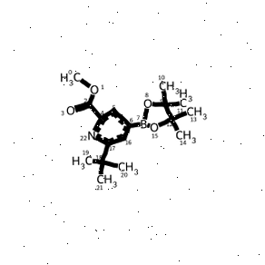 COC(=O)c1cc(B2OC(C)(C)C(C)(C)O2)cc(C(C)(C)C)n1